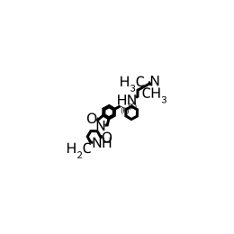 C=C1CCC(N2Cc3cc(C[C@H]4CCCC[C@@H]4NCCC(C)(C)C#N)ccc3C2=O)C(=O)N1